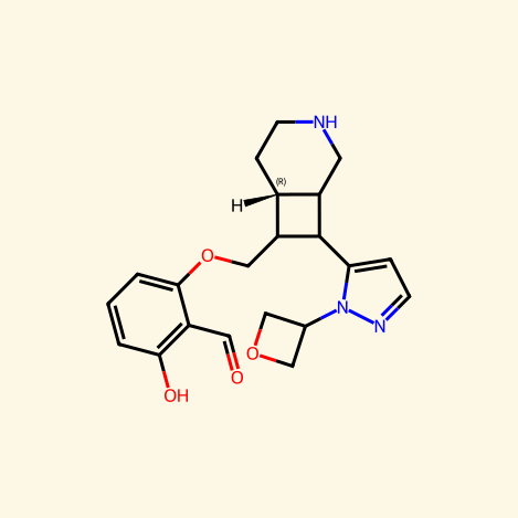 O=Cc1c(O)cccc1OCC1C(c2ccnn2C2COC2)C2CNCC[C@H]21